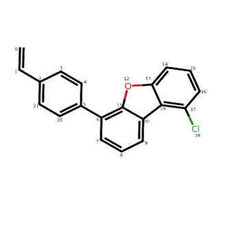 C=Cc1ccc(-c2cccc3c2oc2cccc(Cl)c23)cc1